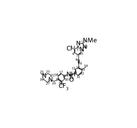 CNc1nc2c(Cl)cc(C#Cc3cc(C(=O)Nc4ccc(CN5CCN(C)CC5)c(C(F)(F)F)c4)ccc3C)cn2n1